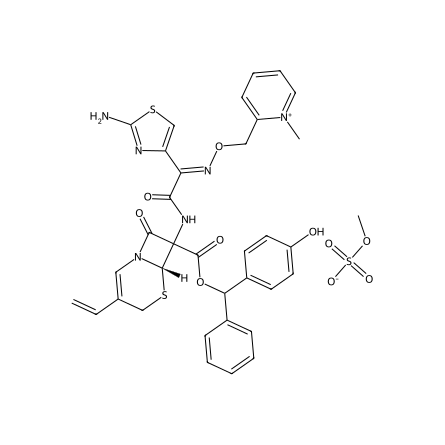 C=CC1=CN2C(=O)C(NC(=O)C(=NOCc3cccc[n+]3C)c3csc(N)n3)(C(=O)OC(c3ccccc3)c3ccc(O)cc3)[C@@H]2SC1.COS(=O)(=O)[O-]